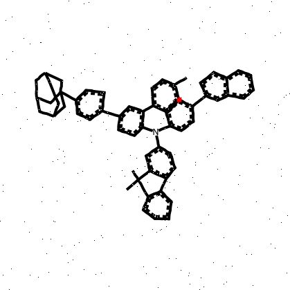 Cc1ccc(-c2cc(-c3ccc(C45CC6CC(CC(C6)C4)C5)cc3)ccc2N(c2ccc(-c3ccc4ccccc4c3)cc2)c2ccc3c(c2)C(C)(C)c2ccccc2-3)cc1